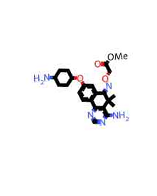 COC(=O)CO/N=C1\c2cc(OC3CCC(N)CC3)ccc2-c2ncnc(N)c2C1(C)C